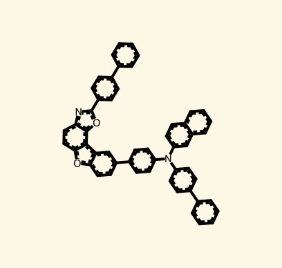 c1ccc(-c2ccc(-c3nc4ccc5oc6ccc(-c7ccc(N(c8ccc(-c9ccccc9)cc8)c8ccc9ccccc9c8)cc7)cc6c5c4o3)cc2)cc1